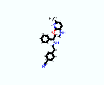 Cc1ccc2c(n1)O[C@H]([C@H](NCCc1ccc(C#N)cc1)c1ccccc1)CN2